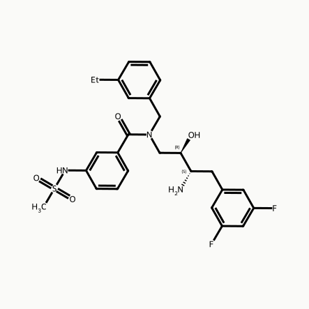 CCc1cccc(CN(C[C@@H](O)[C@@H](N)Cc2cc(F)cc(F)c2)C(=O)c2cccc(NS(C)(=O)=O)c2)c1